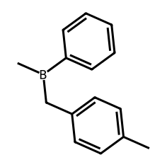 CB(Cc1ccc(C)cc1)c1ccccc1